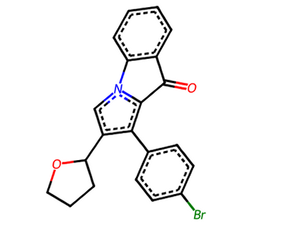 O=C1c2ccccc2-n2cc(C3CCCO3)c(-c3ccc(Br)cc3)c21